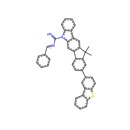 CC1(C)c2cc(-c3ccc4sc5ccccc5c4c3)ccc2-c2cc3c(cc21)c1ccccc1n3C(=N)/N=C/c1ccccc1